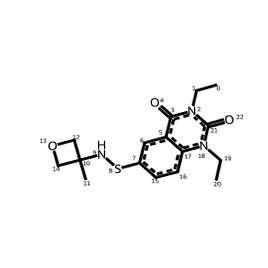 CCn1c(=O)c2cc(SNC3(C)COC3)ccc2n(CC)c1=O